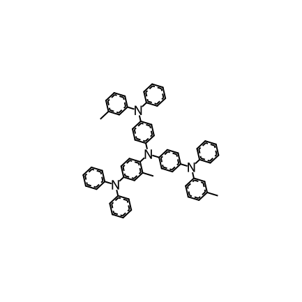 Cc1cccc(N(c2ccccc2)c2ccc(N(c3ccc(N(c4ccccc4)c4cccc(C)c4)cc3)c3ccc(N(c4ccccc4)c4ccccc4)cc3C)cc2)c1